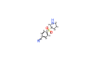 N#Cc1ccc(S(=O)(=O)C2CCCNC2)cc1